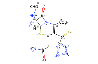 NC(=O)Cn1nnnc1C(=S)C1=C(C(=O)O)N2C(=O)[C@](N)(NC=O)[C@@H]2SC1